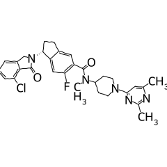 Cc1cc(N2CCC(N(C)C(=O)c3cc4c(cc3F)[C@H](N3Cc5cccc(Cl)c5C3=O)CC4)CC2)nc(C)n1